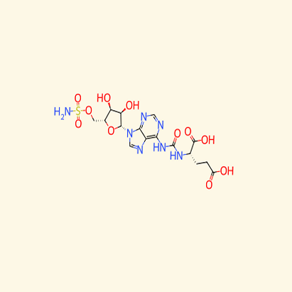 NS(=O)(=O)OC[C@H]1O[C@@H](n2cnc3c(NC(=O)N[C@@H](CCC(=O)O)C(=O)O)ncnc32)[C@H](O)[C@@H]1O